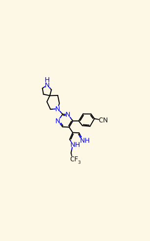 N#Cc1ccc(-c2nc(N3CCC4(CCNC4)CC3)ncc2/C(C=N)=C/NCC(F)(F)F)cc1